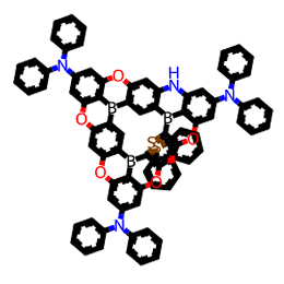 c1ccc(N(c2ccccc2)c2cc3c4c(c2)Oc2c(sc5ccccc25)B4c2cc4c(cc2N3)Oc2cc(N(c3ccccc3)c3ccccc3)cc3c2B4c2cc4c(cc2O3)Oc2cc(N(c3ccccc3)c3ccccc3)cc3c2B4c2sc4ccccc4c2O3)cc1